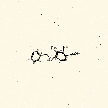 N#Cc1ccc(OCc2ccccc2)c(F)c1F